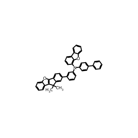 CC1(C)c2cc(-c3cccc(N(c4ccc(-c5ccccc5)cc4)c4cccc5c4oc4ccccc45)c3)ccc2-c2oc3ccccc3c21